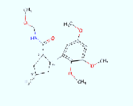 COCNC(=O)[C@H]1C[C@@H](C)C[C@H]1c1cc(OC)cc(OC)c1OC